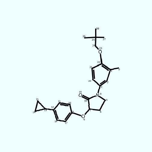 Cc1cc(N2CCC(Oc3ccc(C4CC4)cc3)C2=O)ccc1OCC(C)(C)C